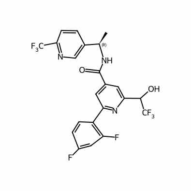 C[C@@H](NC(=O)c1cc(-c2ccc(F)cc2F)nc(C(O)C(F)(F)F)c1)c1ccc(C(F)(F)F)nc1